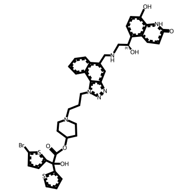 O=C(OC1CCN(CCCn2nnc3cc(CNC[C@H](O)c4ccc(O)c5[nH]c(=O)ccc45)c4ccccc4c32)CC1)C(O)(c1cccs1)c1ccc(Br)s1